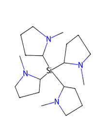 CN1CCCC1[Si](C1CCCN1C)(C1CCCN1C)C1CCCN1C